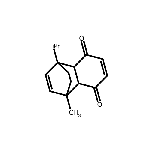 CC(C)C12C=CC(C)(CC1)C1C(=O)C=CC(=O)C12